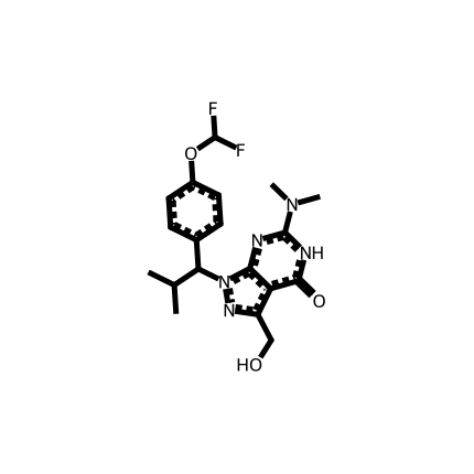 CC(C)C(c1ccc(OC(F)F)cc1)n1nc(CO)c2c(=O)[nH]c(N(C)C)nc21